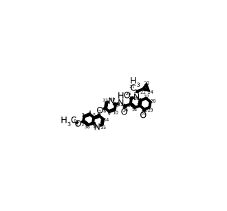 COc1ccc2c(Oc3ccc(NC(=O)c4cc5c(n([C@H](C)C6CC6)c4=O)CCCC5=O)nc3)ccnc2c1